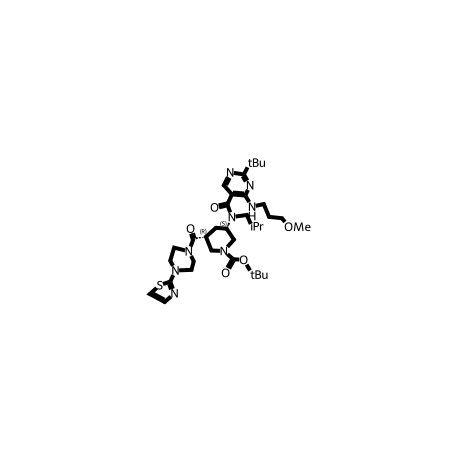 COCCCNc1nc(C(C)(C)C)ncc1C(=O)N(CC(C)C)[C@H]1C[C@@H](C(=O)N2CCN(c3nccs3)CC2)CN(C(=O)OC(C)(C)C)C1